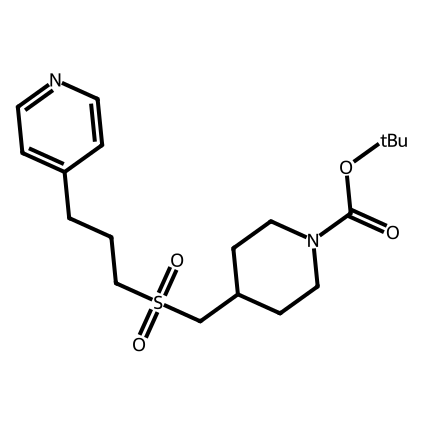 CC(C)(C)OC(=O)N1CCC(CS(=O)(=O)CCCc2ccncc2)CC1